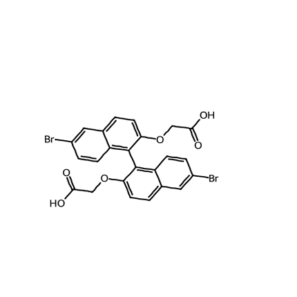 O=C(O)COc1ccc2cc(Br)ccc2c1-c1c(OCC(=O)O)ccc2cc(Br)ccc12